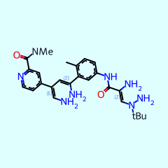 CNC(=O)c1cc(C(/C=C(\N)c2cc(NC(=O)/C(N)=C/N(N)C(C)(C)C)ccc2C)=C/N)ccn1